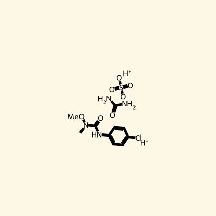 CON(C)C(=O)Nc1ccc(Cl)cc1.NC(N)=O.O=S(=O)([O-])[O-].[H+].[H+]